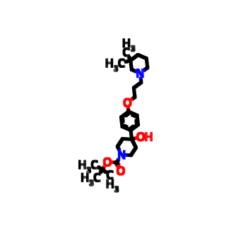 CC1(C)CCCN(CCCOc2ccc(C3(O)CCN(C(=O)OC(C)(C)C)CC3)cc2)C1